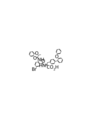 CC(Oc1ccccc1)C(=O)Nc1ccc(Br)cc1C(=O)N[C@@H](Cc1ccc(-c2ccccc2Oc2ccccc2)cc1)C(=O)O